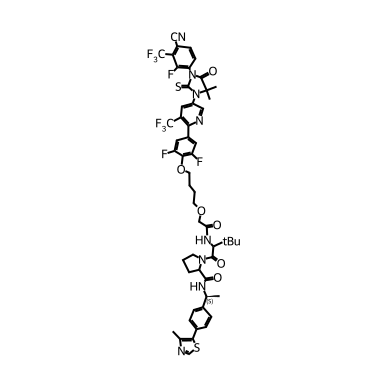 Cc1ncsc1-c1ccc([C@H](C)NC(=O)C2CCCN2C(=O)C(NC(=O)COCCCCOc2c(F)cc(-c3ncc(N4C(=S)N(c5ccc(C#N)c(C(F)(F)F)c5F)C(=O)C4(C)C)cc3C(F)(F)F)cc2F)C(C)(C)C)cc1